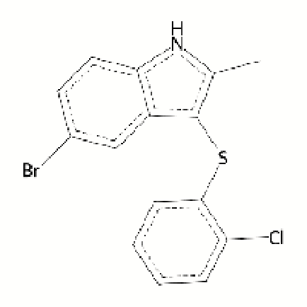 Cc1[nH]c2ccc(Br)cc2c1Sc1ccccc1Cl